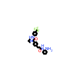 Nc1ccccc1NC(=O)/C=C/c1ccc(C(C(=O)Nc2ccc(C(F)(F)F)cc2)N2CCC2)cc1